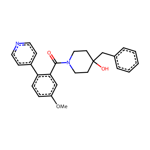 COc1ccc(-c2ccncc2)c(C(=O)N2CCC(O)(Cc3ccccc3)CC2)c1